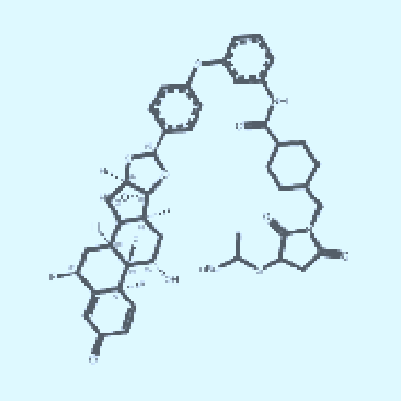 CCCCC(C)SC1CC(=O)N(CC2CCC(C(=O)Nc3cccc(Sc4ccc([C@@H]5O[C@@H]6CC7[C@@H]8C[C@H](F)C9=CC(=O)C=C[C@]9(C)[C@@]8(F)[C@@H](O)C[C@]7(C)[C@]6(C(=O)O)O5)cc4)c3)CC2)C1=O